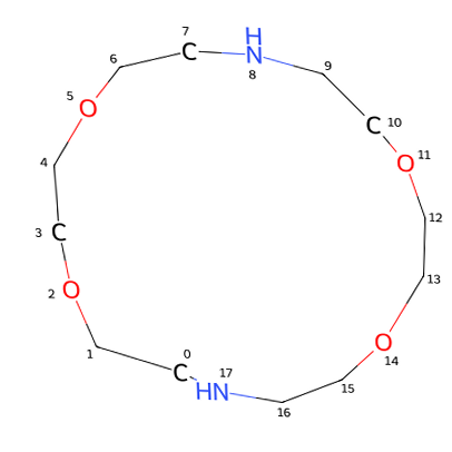 C1COCCOCCNCCOCCOCCN1